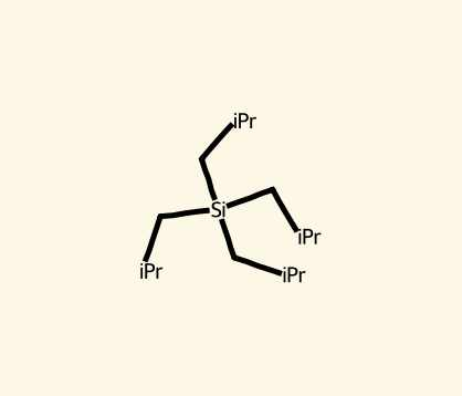 CC(C)C[Si](CC(C)C)(CC(C)C)CC(C)C